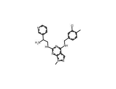 Cc1ccc(CNc2nc(NCC(N)c3cccnc3)nc3c2cnn3C)cc1Cl